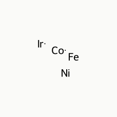 [Co].[Fe].[Ir].[Ni]